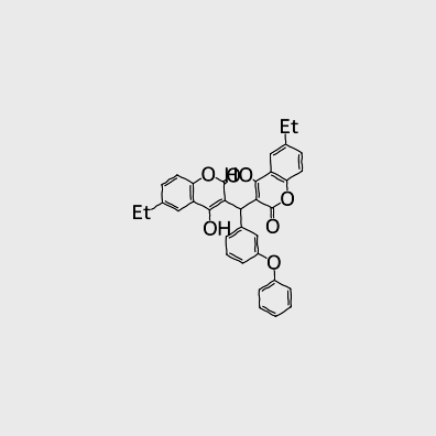 CCc1ccc2oc(=O)c(C(c3cccc(Oc4ccccc4)c3)c3c(O)c4cc(CC)ccc4oc3=O)c(O)c2c1